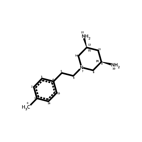 Cc1ccc(CCN2C[C@H](N)C[C@H](N)C2)cc1